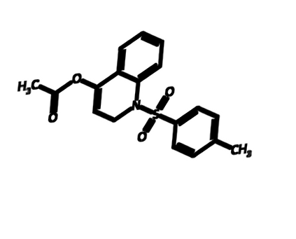 CC(=O)OC1=CCN(S(=O)(=O)c2ccc(C)cc2)c2ccccc21